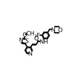 COc1ncc(-c2ccncc2C=CC(=O)Nc2ccc(CN3CCOCC3)cc2F)s1